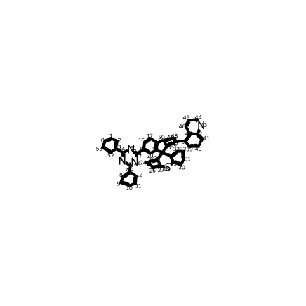 c1ccc(-c2nc(-c3ccccc3)nc(-c3ccc4c(c3)C3(c5ccccc5Sc5ccccc53)c3cc(-c5cccc6ncccc56)ccc3-4)n2)cc1